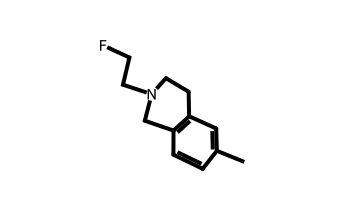 Cc1ccc2c(c1)CCN(CCF)C2